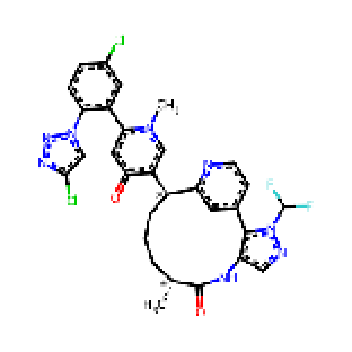 C[C@@H]1CCC[C@@H](c2cn(C)c(-c3cc(Cl)ccc3-n3cc(Cl)nn3)cc2=O)c2cc(ccn2)-c2c(cnn2C(F)F)NC1=O